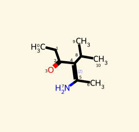 CCC(=O)/C(=C(/C)N)C(C)C